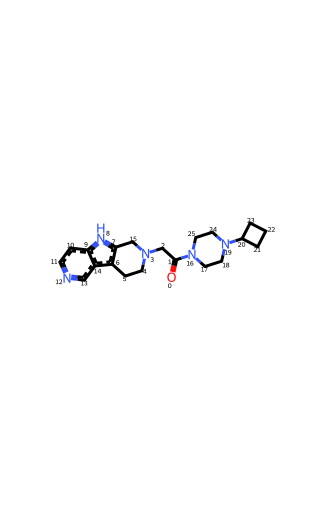 O=C(CN1CCc2c([nH]c3ccncc23)C1)N1CCN(C2CCC2)CC1